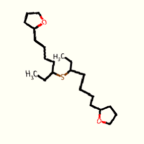 CCC(CCCCC1CCCO1)SC(CC)CCCCC1CCCO1